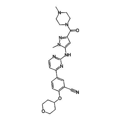 CN1CCN(C(=O)c2cc(Nc3nccc(-c4ccc(OC5CCOCC5)c(C#N)c4)n3)n(C)n2)CC1